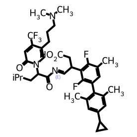 Cc1cc(-c2c(C)cc(C3CC3)cc2C)c(F)c(C(/C=N/C(=O)C(CC(C)C)n2cc(CCCN(C)C)c(C(F)(F)F)cc2=O)CC(=O)O)c1F